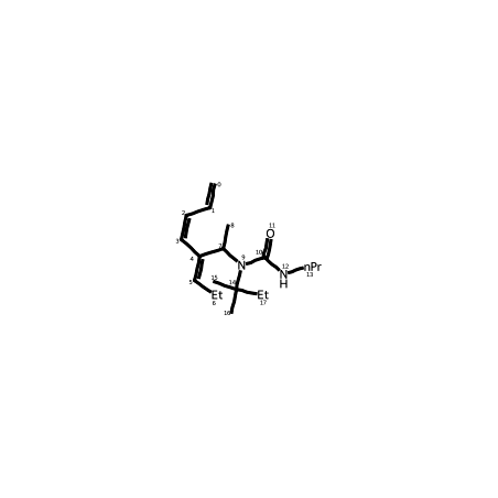 C=C/C=C\C(=C\CC)C(C)N(C(=O)NCCC)C(C)(C)CC